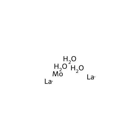 O.O.O.[La].[La].[Mo]